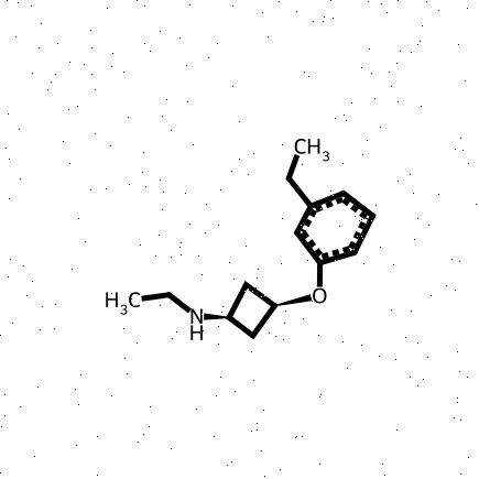 CCN[C@H]1C[C@@H](Oc2cccc(CC)c2)C1